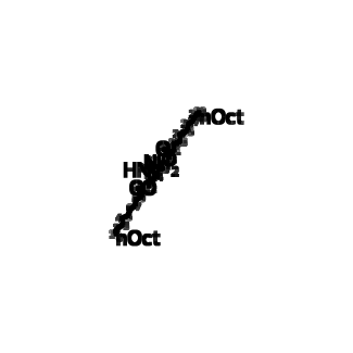 CCCCCCCC/C=C\CCCCCCCC(=O)OCCN(CCOC(=O)CCCCCCC/C=C\CCCCCCCC)C(=N)N